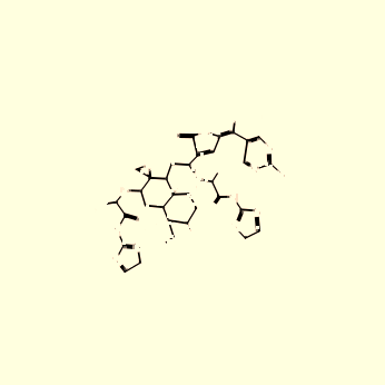 CCOC(=O)/C(=C1/C=C(C(CC2C3(CO3)C(NC(C)C(=O)NC3=NCC=N3)CC3[C@]2(C)CC[C@@H](O)[C@@]3(C)CO)NC(C)C(=O)NC2=NCC=N2)C(=O)O1)c1cnc(N)nc1